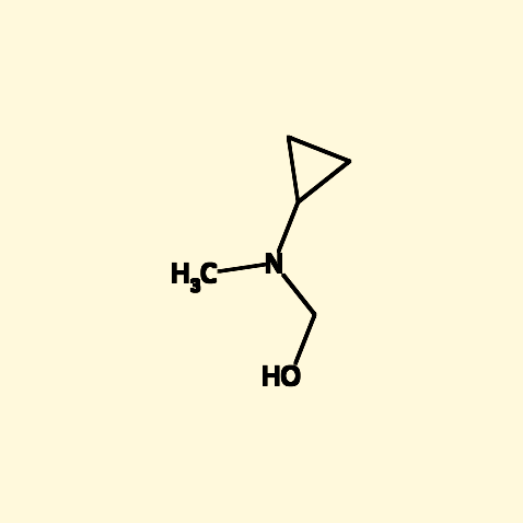 CN(CO)C1CC1